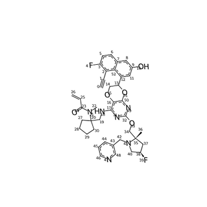 C#Cc1c(F)ccc2cc(O)cc(C3COc4c(NCC5(N(C)C(=O)C=C)CCCC5)nc(OC[C@]5(C)C[C@@H](F)CN5Cc5cccnc5)nc4O3)c12